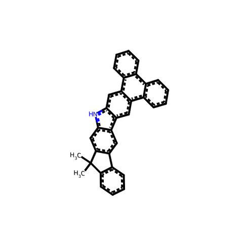 CC1(C)c2ccccc2-c2cc3c(cc21)[nH]c1cc2c4ccccc4c4ccccc4c2cc13